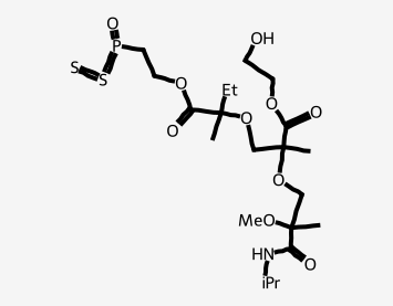 CCC(C)(OCC(C)(OCC(C)(OC)C(=O)NC(C)C)C(=O)OCCO)C(=O)OCCP(=O)=S=S